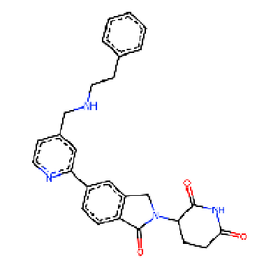 O=C1CCC(N2Cc3cc(-c4cc(CNCCc5ccccc5)ccn4)ccc3C2=O)C(=O)N1